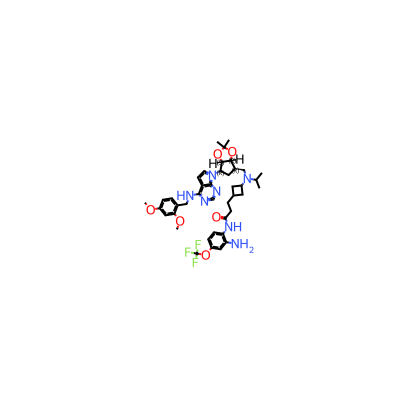 COc1ccc(CNc2ncnc3c2ccn3[C@@H]2C[C@H](CN(C(C)C)C3CC(CCC(=O)Nc4ccc(OC(F)(F)F)cc4N)C3)[C@H]3OC(C)(C)O[C@H]32)c(OC)c1